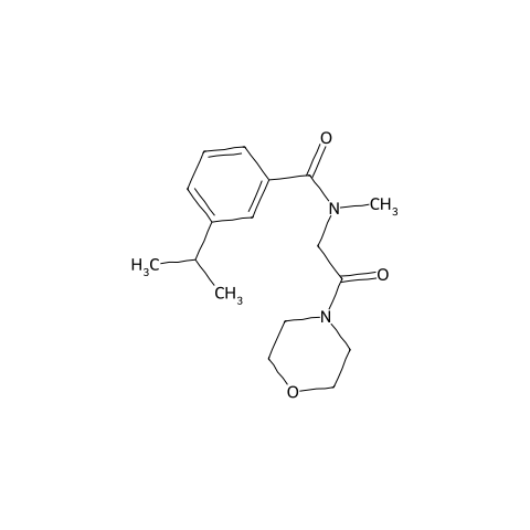 CC(C)c1cccc(C(=O)N(C)CC(=O)N2CCOCC2)c1